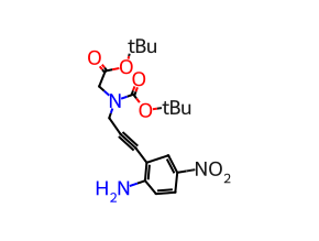 CC(C)(C)OC(=O)CN(CC#Cc1cc([N+](=O)[O-])ccc1N)C(=O)OC(C)(C)C